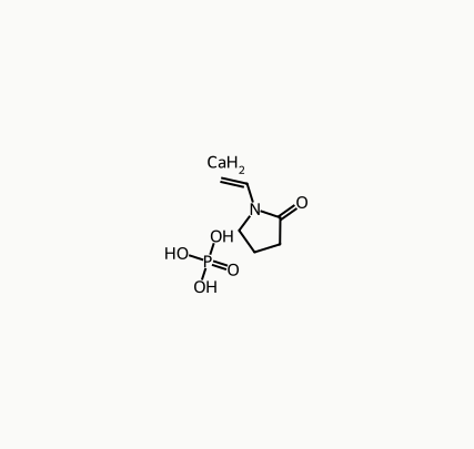 C=CN1CCCC1=O.O=P(O)(O)O.[CaH2]